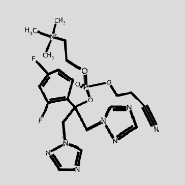 C[N+](C)(C)CCOP(=O)(OCCC#N)OC(Cn1cncn1)(Cn1cncn1)c1ccc(F)cc1F